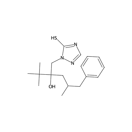 CC(Cc1ccccc1)CC(O)(Cn1ncnc1S)C(C)(C)C